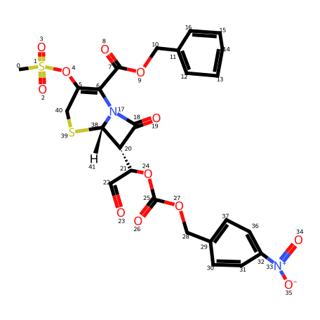 CS(=O)(=O)OC1=C(C(=O)OCc2ccccc2)N2C(=O)[C@H](C(C=O)OC(=O)OCc3ccc([N+](=O)[O-])cc3)[C@@H]2SC1